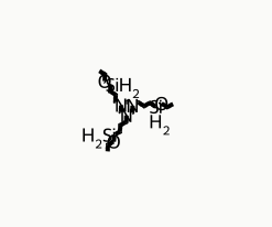 CCO[SiH2]CCCN1CN(CCC[SiH2]OCC)CN(CCC[SiH2]OCC)C1